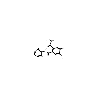 CC(C)c1nn(-c2c(F)cccc2Cl)c(=O)c2cc(F)c(Br)cc12